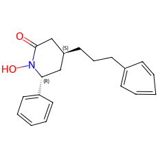 O=C1C[C@@H](CCCc2ccccc2)C[C@H](c2ccccc2)N1O